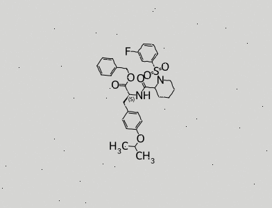 CC(C)Oc1ccc(C[C@H](NC(=O)C2CCCCN2S(=O)(=O)c2cccc(F)c2)C(=O)OCc2ccccc2)cc1